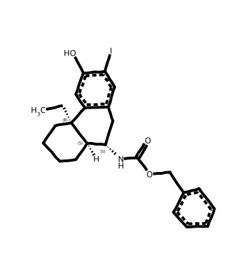 CC[C@@]12CCCC[C@@H]1[C@@H](NC(=O)OCc1ccccc1)Cc1cc(I)c(O)cc12